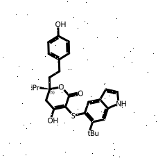 CC(C)[C@]1(CCc2ccc(O)cc2)CC(O)=C(Sc2cc3cc[nH]c3cc2C(C)(C)C)C(=O)O1